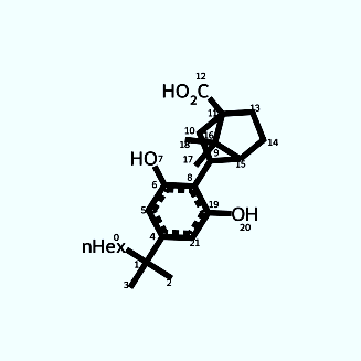 CCCCCCC(C)(C)c1cc(O)c(C2CC3(C(=O)O)CCC2C3(C)C)c(O)c1